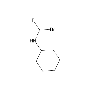 F[C](Br)NC1CCCCC1